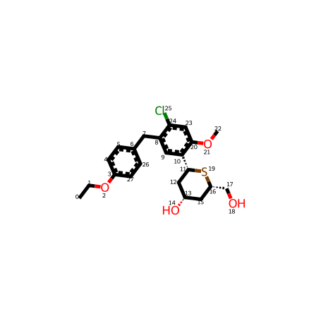 CCOc1ccc(Cc2cc([C@H]3C[C@@H](O)C[C@@H](CO)S3)c(OC)cc2Cl)cc1